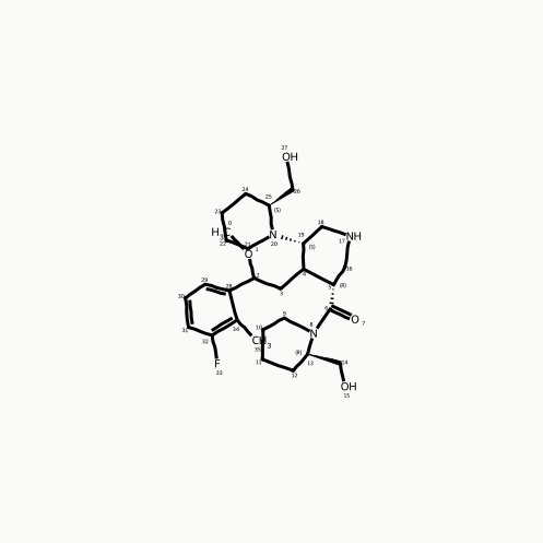 COC(CC1[C@@H](C(=O)N2CCCC[C@@H]2CO)CNC[C@H]1N1CCCC[C@H]1CO)c1cccc(F)c1C